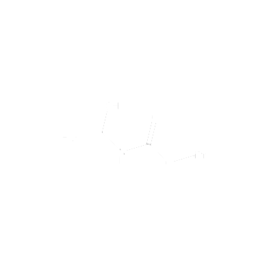 CC(C)OC(=O)N[C@@H](C)C(F)(F)F